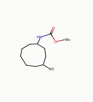 CC(C)(C)OC(=O)NC1CCCCCC(N=O)CC1